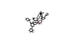 CC(C)(Sc1cc(-c2ccccc2)ccc1O)Sc1cc(-c2ccccc2)cc(SC(C)(C)Sc2cc(-c3ccccc3)ccc2O)c1O